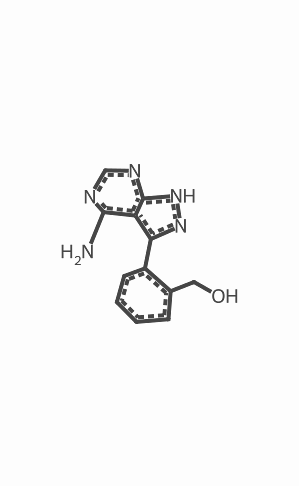 Nc1ncnc2[nH]nc(-c3ccccc3CO)c12